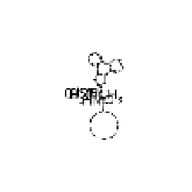 [CH3][Ti+2]([CH3])([NH]C(=O)C1CCCCCCCCCCC1)[C]1=Cc2c(c3ccccc3c3ccccc23)C1.[Cl-].[Cl-].[SiH4]